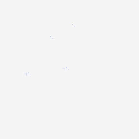 c1ccc2[nH]c(-c3cnc4[nH]ccc4c3NC3CCCCC3)cc2c1